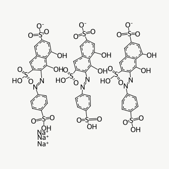 O=S(=O)([O-])c1cc(O)c2c(O)c(N=Nc3ccc(S(=O)(=O)O)cc3)c(S(=O)(=O)O)cc2c1.O=S(=O)([O-])c1cc(O)c2c(O)c(N=Nc3ccc(S(=O)(=O)O)cc3)c(S(=O)(=O)O)cc2c1.O=S(=O)([O-])c1cc(O)c2c(O)c(N=Nc3ccc(S(=O)(=O)O)cc3)c(S(=O)(=O)O)cc2c1.[Na+].[Na+].[Na+]